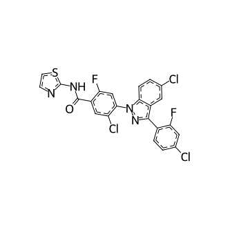 O=C(Nc1nccs1)c1cc(Cl)c(-n2nc(-c3ccc(Cl)cc3F)c3cc(Cl)ccc32)cc1F